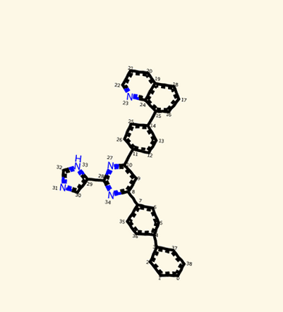 c1ccc(-c2ccc(-c3cc(-c4ccc(-c5cccc6cccnc56)cc4)nc(-c4cnc[nH]4)n3)cc2)cc1